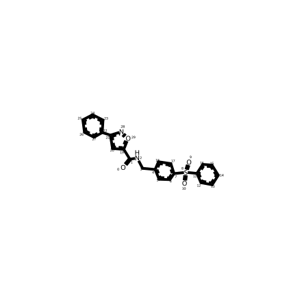 O=C(NCc1ccc(S(=O)(=O)c2ccccc2)cc1)c1cc(-c2ccccc2)no1